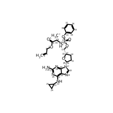 C=CCOC(=O)[C@H](C)N[P@](=O)(OC[C@@H]1CC[C@H](n2cnc3c(NC4CC4)nc(N)nc32)O1)Oc1ccccc1